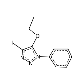 CCOc1c(I)nnn1-c1ccccc1